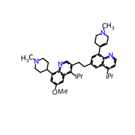 COc1cc(C2CCN(C)CC2)c2ncc(CCc3cc(C4=CCN(C)CC4)c4nccc(C(C)C)c4c3)c(C(C)C)c2c1